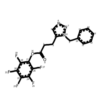 O=C(CCc1cnnn1Cc1ccccc1)Oc1c(F)c(F)c(F)c(F)c1F